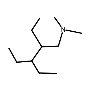 CCC(CC)C(CC)CN(C)C